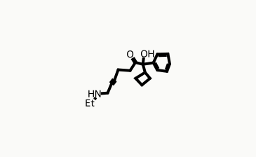 CCNCC#CCCC(=O)C(O)(c1ccccc1)C1CCC1